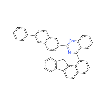 c1ccc(-c2ccc3cc(-c4nc(-c5cccc6ccc7c(c56)Cc5ccccc5-7)c5ccccc5n4)ccc3c2)cc1